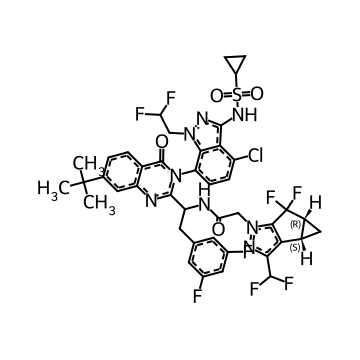 CC(C)(C)c1ccc2c(=O)n(-c3ccc(Cl)c4c(NS(=O)(=O)C5CC5)nn(CC(F)F)c34)c(C(Cc3cc(F)cc(F)c3)NC(=O)Cn3nc(C(F)F)c4c3C(F)(F)[C@@H]3C[C@H]43)nc2c1